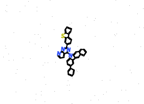 c1ccc(-c2ccc3c(c2)c2cc4ccccc4cc2n3-c2nc(-c3ccc4c(c3)sc3ccccc34)nc3ncccc23)cc1